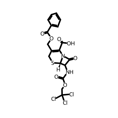 O=C(NC1C(=O)N2C(C(=O)O)=C(COC(=O)c3ccccc3)CS[C@@H]12)OCC(Cl)(Cl)Cl